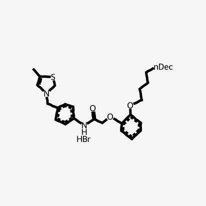 Br.CCCCCCCCCCCCCCOc1ccccc1OCC(=O)Nc1ccc(CN2C=C(C)SC2)cc1